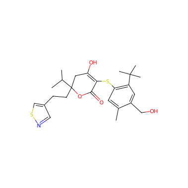 Cc1cc(SC2=C(O)CC(CCc3cnsc3)(C(C)C)OC2=O)c(C(C)(C)C)cc1CO